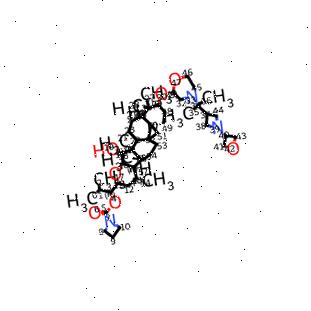 CC(C)[C@@H](OC(=O)N1CCC1)C1C[C@@H](C)[C@H]2C(O1)[C@H](O)[C@@]1(C)C3CC[C@H]4C(C)(C)[C@@H](O[C@H]5CN(C(C)(C)C6CN(C7COC7)C6)CCO5)CC[C@@]45CC35CC[C@]21C